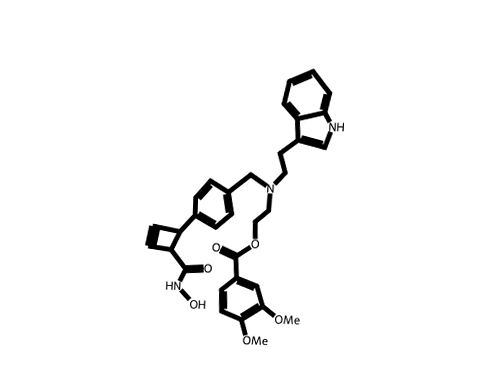 COc1ccc(C(=O)OCCN(CCc2c[nH]c3ccccc23)Cc2ccc(C3C#CC3C(=O)NO)cc2)cc1OC